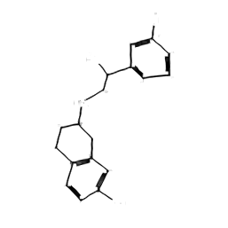 Oc1ccc2c(c1)CC(NCC(O)c1cccc(Cl)c1)CC2